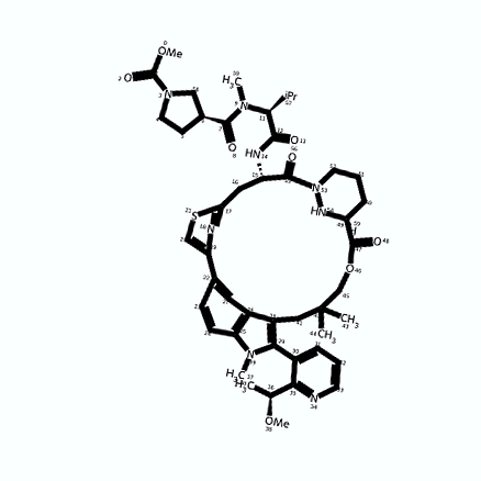 COC(=O)N1CC[C@H](C(=O)N(C)[C@H](C(=O)N[C@H]2Cc3nc(cs3)-c3ccc4c(c3)c(c(-c3cccnc3[C@H](C)OC)n4C)CC(C)(C)COC(=O)[C@@H]3CCCN(N3)C2=O)C(C)C)C1